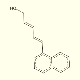 OC/C=C/C=C/c1cccc2ccccc12